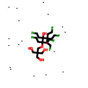 OCC(CO)(CO)COC(CCF)(CCF)C(O)(CCF)C(CCF)(CCF)CCF